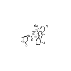 Cc1cc(NC(=O)[C@@H]2N[C@@H](CC(C)(C)C)C3(C(=O)Nc4cc(Cl)ccc43)[C@@H]2c2cccc(Cl)c2F)cc(=O)[nH]1